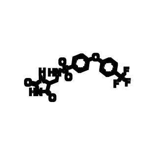 O=C1NC(=O)C(CNS(=O)(=O)c2ccc(Oc3ccc(C(F)(F)F)cc3)cc2)N1